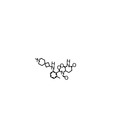 Cc1cccc(NC2CC3(CCN(C)CC3)C2)c1C(=O)N(C=O)C1CCC(=O)NC1=O